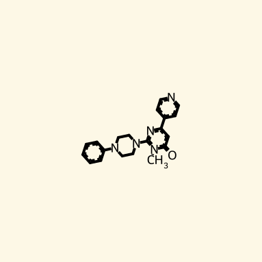 Cn1c(N2CCN(c3ccccc3)CC2)nc(-c2ccncc2)cc1=O